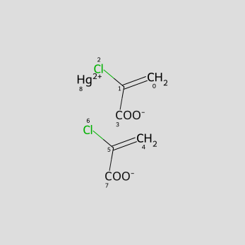 C=C(Cl)C(=O)[O-].C=C(Cl)C(=O)[O-].[Hg+2]